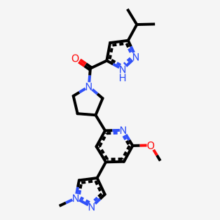 COc1cc(-c2cnn(C)c2)cc(C2CCN(C(=O)c3cc(C(C)C)n[nH]3)C2)n1